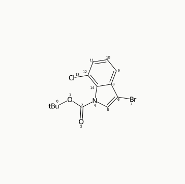 CC(C)(C)OC(=O)n1cc(Br)c2cccc(Cl)c21